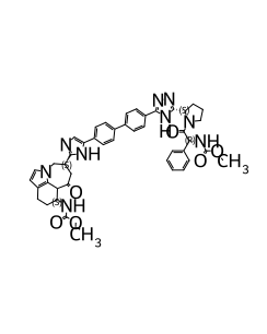 COC(=O)N[C@H]1CCc2ccn3c2C1C(=O)C[C@H](c1ncc(-c2ccc(-c4ccc(-c5nnc([C@@H]6CCCN6C(=O)[C@H](NC(=O)OC)c6ccccc6)[nH]5)cc4)cc2)[nH]1)C3